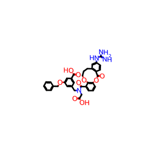 N=C(N)Nc1ccc2c(c1)CCCOc1c(cccc1C(=O)N(CC(=O)O)Cc1cc(OCc3ccccc3)cc(C(=O)O)c1)OC2=O